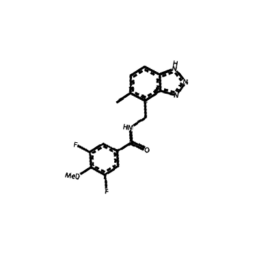 COc1c(F)cc(C(=O)NCc2c(C)ccc3[nH]nnc23)cc1F